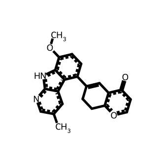 COc1ccc(C2=Cc3c(occc3=O)CC2)c2c1[nH]c1ncc(C)cc12